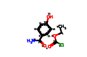 CCOC(=O)Cl.NC(=O)c1ccc(O)cc1